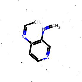 C=Nc1cnccc1/N=C\C